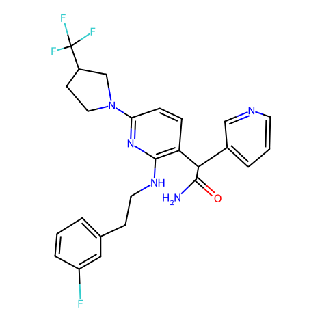 NC(=O)C(c1cccnc1)c1ccc(N2CCC(C(F)(F)F)C2)nc1NCCc1cccc(F)c1